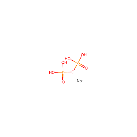 O=P(O)(O)OP(=O)(O)O.[Nb]